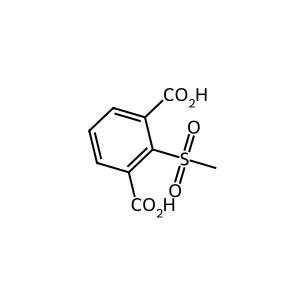 CS(=O)(=O)c1c(C(=O)O)cccc1C(=O)O